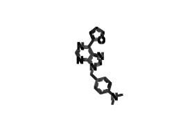 CN(C)c1ccc(Cn2cnc3c(-c4ccco4)ncnc32)cc1